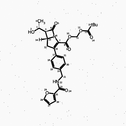 C[C@@H](O)[C@H]1C(=O)N2C(C(=O)OCOC(=O)C(C)(C)C)=C(c3ccc(CNC(=O)c4ccco4)cc3)C[C@H]12